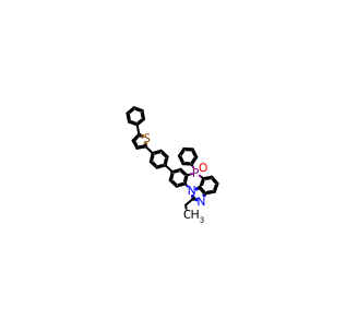 CCc1nc2cccc3c2n1-c1ccc(-c2ccc(-c4ccc(-c5ccccc5)s4)cc2)cc1P3(=O)c1ccccc1